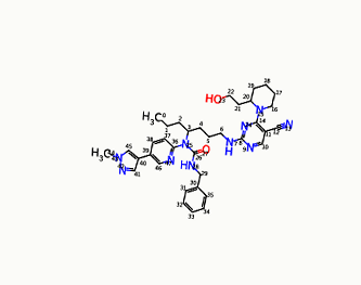 CCCC(CCCNc1ncc(C#N)c(N2CCCCC2CCO)n1)N(C(=O)NCc1ccccc1)c1ccc(-c2cnn(C)c2)cn1